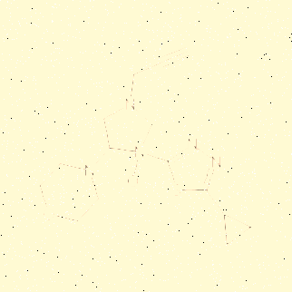 C#CCN1CC(N2CCOCC2)[N+]([O-])(c2nnc(C3CC3)s2)C1